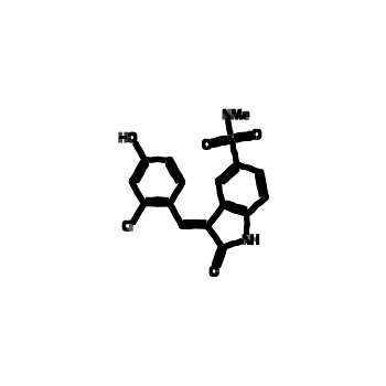 CNS(=O)(=O)c1ccc2c(c1)C(=Cc1ccc(O)cc1Cl)C(=O)N2